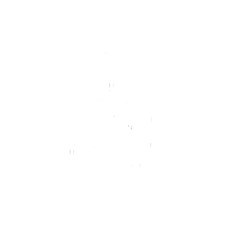 CC1(C)CC(O)CC(C)(C)N1O.O=S(=O)(O)O